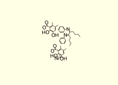 CCCCC(=Nc1ccccc1)C(CCCC)=Nc1ccccc1.Cc1cc(O)c(O)c(C(=O)[O-])c1C.Cc1cc(O)c(O)c(C(=O)[O-])c1C.[Ni+2]